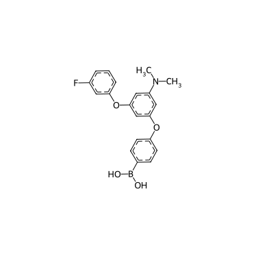 CN(C)c1cc(Oc2ccc(B(O)O)cc2)cc(Oc2cccc(F)c2)c1